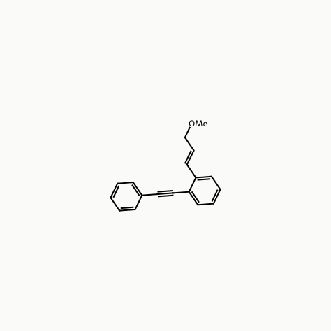 COCC=Cc1ccccc1C#Cc1ccccc1